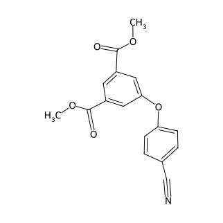 COC(=O)c1cc(Oc2ccc(C#N)cc2)cc(C(=O)OC)c1